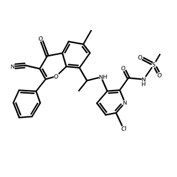 Cc1cc(C(C)Nc2ccc(Cl)nc2C(=O)NS(C)(=O)=O)c2oc(-c3ccccc3)c(C#N)c(=O)c2c1